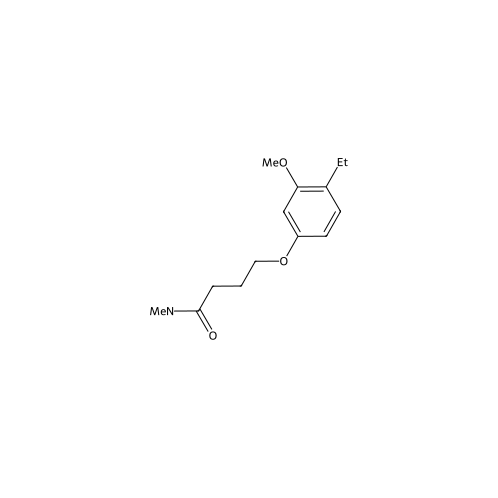 CCc1ccc(OCCCC(=O)NC)cc1OC